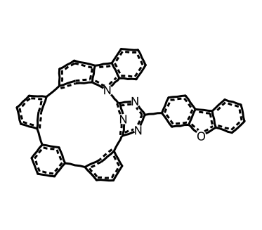 c1cc2cc(c1)-c1cccc(c1)-c1nc(-c3ccc4c(c3)oc3ccccc34)nc(n1)-n1c3ccccc3c3ccc(cc31)-c1cccc-2c1